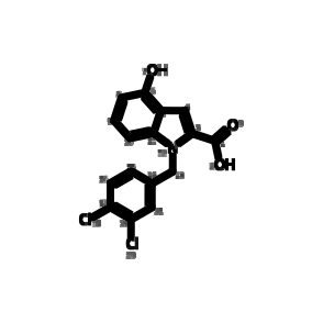 O=C(O)c1cc2c(O)cccc2n1Cc1ccc(Cl)c(Cl)c1